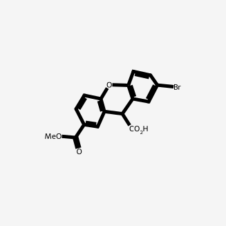 COC(=O)c1ccc2c(c1)C(C(=O)O)c1cc(Br)ccc1O2